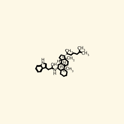 CC(C)CCCC(C)[C@H]1CC[C@H]2[C@@H]3C[C@@H](NC(O)Cc4c[nH]c5ccccc45)C4CCCC[C@]4(C)[C@H]3CC[C@]12C